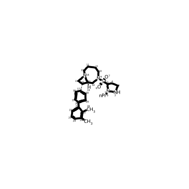 CCCN1NCCC1S(=O)(=O)N1CCCCN2C[C@@H](c3ccc(-c4cccc(C)c4C)cc3)[C@@H]2C1